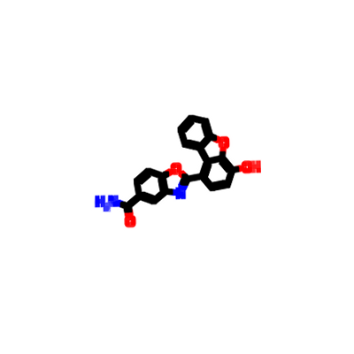 NC(=O)c1ccc2oc(-c3ccc(O)c4oc5ccccc5c34)nc2c1